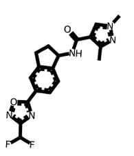 Cc1nn(C)cc1C(=O)NC1CCc2cc(-c3nc(C(F)F)no3)ccc21